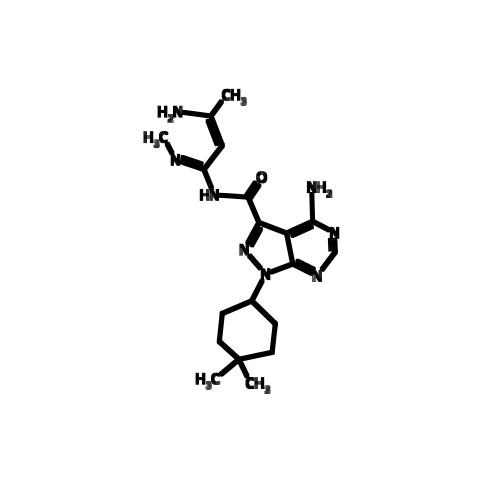 C/N=C(\C=C(\C)N)NC(=O)c1nn(C2CCC(C)(C)CC2)c2ncnc(N)c12